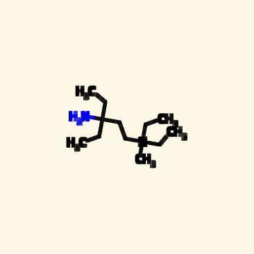 CCC(N)(CC)CC[Si](C)(CC)CC